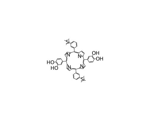 C[Si](C)(C)c1cccc(C2=C3C=CC(=N3)C(c3ccc(O)c(O)c3)=C3C=CC(=N3)C(c3cccc([Si](C)(C)C)c3)=C3C=CC(=N3)C(c3ccc(O)c(O)c3)=C3C=CC2=N3)c1